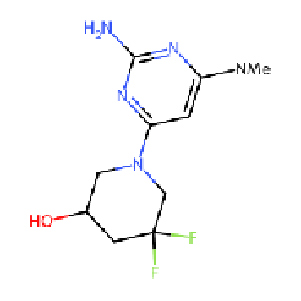 CNc1cc(N2CC(O)CC(F)(F)C2)nc(N)n1